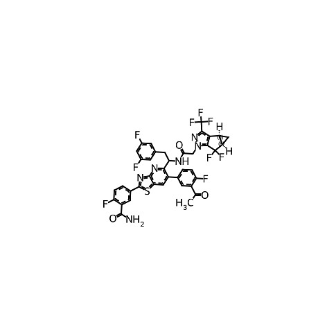 CC(=O)c1cc(-c2cc3sc(-c4ccc(F)c(C(N)=O)c4)nc3nc2C(Cc2cc(F)cc(F)c2)NC(=O)Cn2nc(C(F)(F)F)c3c2C(F)(F)[C@@H]2C[C@H]32)ccc1F